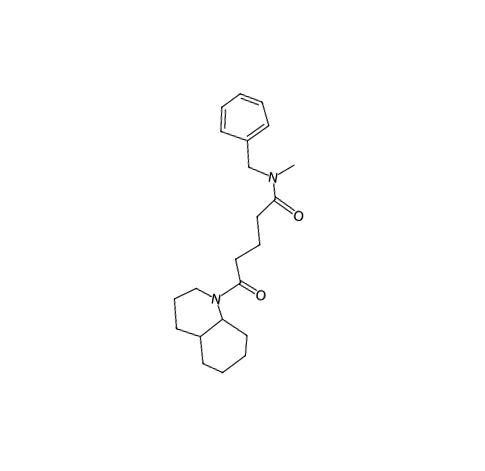 CN(Cc1ccccc1)C(=O)CCCC(=O)N1CCCC2CCCCC21